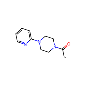 [CH2]C(=O)N1CCN(c2ccccn2)CC1